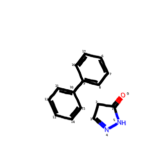 O=C1CC=NN1.c1ccc(-c2ccccc2)cc1